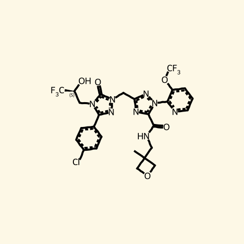 CC1(CNC(=O)c2nc(Cn3nc(-c4ccc(Cl)cc4)n(C[C@H](O)C(F)(F)F)c3=O)nn2-c2ncccc2OC(F)(F)F)COC1